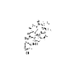 CON(C)C(=O)C1CCC(CN2C(=O)c3ccc(Cl)cc3NC(=O)[C@H]2Cc2ccccn2)CC1